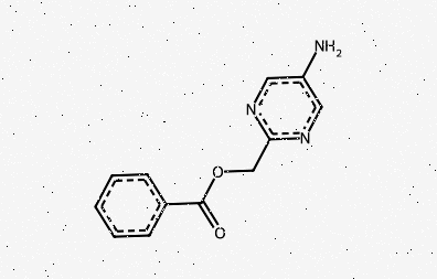 Nc1cnc(COC(=O)c2ccccc2)nc1